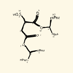 CCCCCC(CCCC)OC(=O)CC(C(=O)OC(CCCC)CCCCC)S(=O)(=O)O